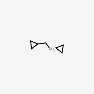 C1CC1.NCC1CC1